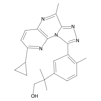 Cc1ccc(C(C)(C)CO)cc1-c1nnc2c(C)nc3ccc(C4CC4)nc3n12